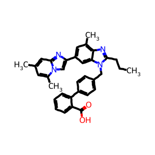 CCCc1nc2c(C)cc(-c3cn4c(C)cc(C)cc4n3)cc2n1Cc1ccc(-c2ccccc2C(=O)O)cc1